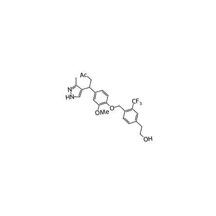 COc1cc(C(CC(C)=O)c2c[nH]nc2C)ccc1OCc1ccc(CCO)cc1C(F)(F)F